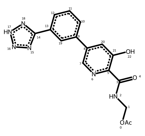 CC(=O)OCNC(=O)c1ncc(-c2cccc(-c3nn[nH]n3)c2)cc1O